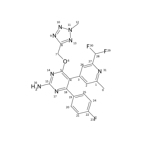 Cc1cc(-c2c(OCc3nnn(C)n3)nc(N)nc2-c2ccc(F)cc2)cc(C(F)F)n1